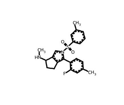 CNC1CCc2c1cn(S(=O)(=O)c1cccc(C)c1)c2-c1ccc(C)cc1F